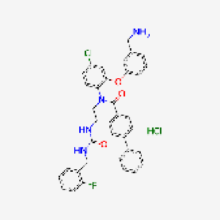 Cl.NCc1cccc(Oc2cc(Cl)ccc2N(CCNC(=O)NCc2ccccc2F)C(=O)c2ccc(-c3ccccc3)cc2)c1